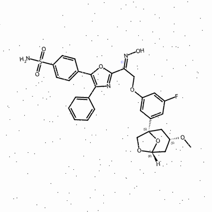 CO[C@@H]1C[C@@H]2OC[C@@](c3cc(F)cc(OC/C(=N\O)c4nc(-c5ccccc5)c(-c5ccc(S(N)(=O)=O)cc5)o4)c3)(C1)O2